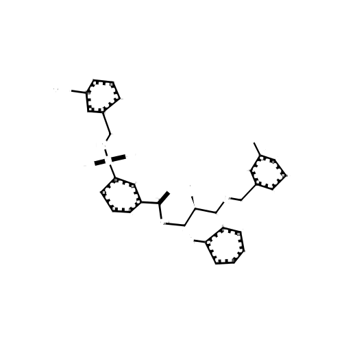 COc1cccc(CNS(=O)(=O)c2cccc(C(=O)N[C@@H](Cc3ccccc3)[C@@H](O)CNCc3cccc(C(F)(F)F)c3)c2)c1